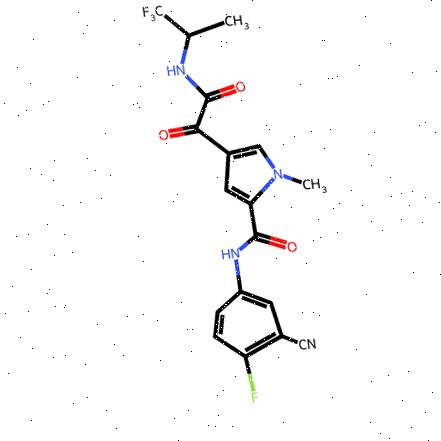 CC(NC(=O)C(=O)c1cc(C(=O)Nc2ccc(F)c(C#N)c2)n(C)c1)C(F)(F)F